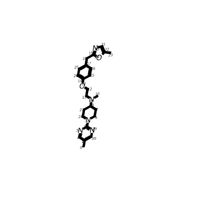 Cc1cnc(N2CCC(N(C)CCOc3ccc(Cc4ncc(C)o4)cc3)CC2)nc1